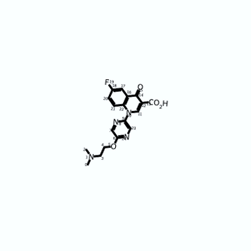 CN(C)CCOc1cnc(-n2cc(C(=O)O)c(=O)c3cc(F)ccc32)cn1